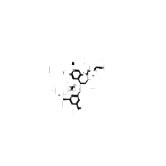 COC(=O)N(Cc1cc(C(F)(F)F)cc(C(F)(F)F)c1)[C@H]1C[C@@H](C)N(C(=O)OCC(F)(F)F)c2cc(OC)c(OC)cc21